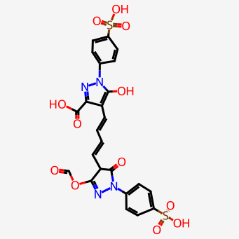 O=COC1=NN(c2ccc(S(=O)(=O)O)cc2)C(=O)C1C=CC=Cc1c(C(=O)O)nn(-c2ccc(S(=O)(=O)O)cc2)c1O